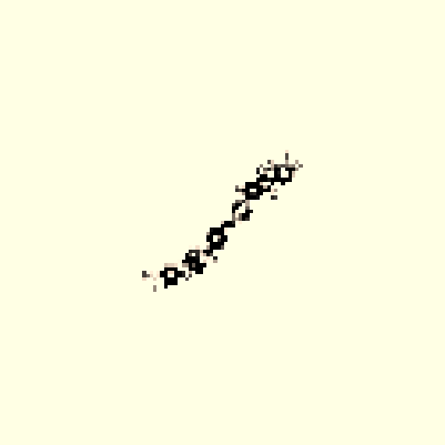 CC1(C)[C@H](NC(=O)c2ccc(CCN3CCN(c4cc5c(cc4F)C(=O)N(C4CCC(=O)NC4=O)C5=O)CC3)cc2)C(C)(C)[C@H]1Oc1ccc(C#N)c(Cl)c1